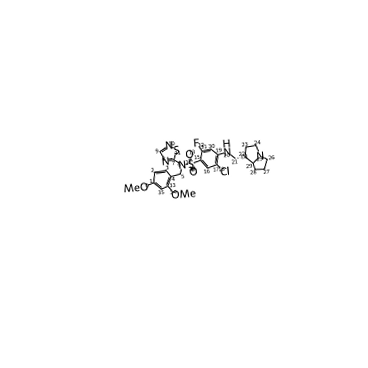 COc1ccc(CN(c2ncns2)S(=O)(=O)c2cc(Cl)c(NC[C@@H]3CCN4CCCC34)cc2F)c(OC)c1